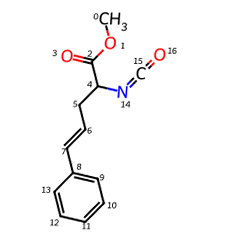 COC(=O)C(CC=Cc1ccccc1)N=C=O